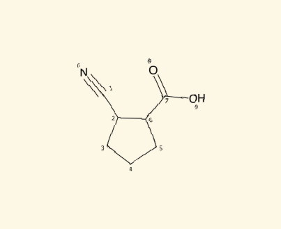 N#CC1CCCC1C(=O)O